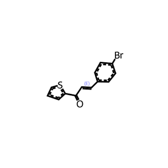 O=C(/C=C/c1ccc(Br)cc1)c1cccs1